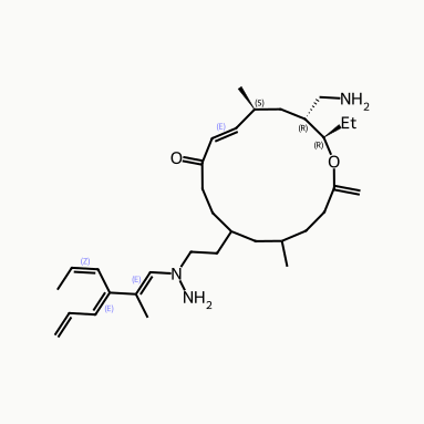 C=C/C=C(\C=C/C)C(/C)=C/N(N)CCC1CCC(=O)/C=C/[C@@H](C)C[C@H](CN)[C@@H](CC)OC(=C)CCC(C)C1